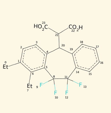 CCc1ccc2c(c1CC)C(F)(F)C(F)(F)c1ccccc1C2C(C(=O)O)C(=O)O